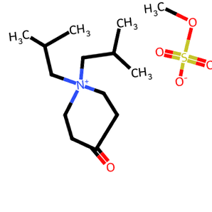 CC(C)C[N+]1(CC(C)C)CCC(=O)CC1.COS(=O)(=O)[O-]